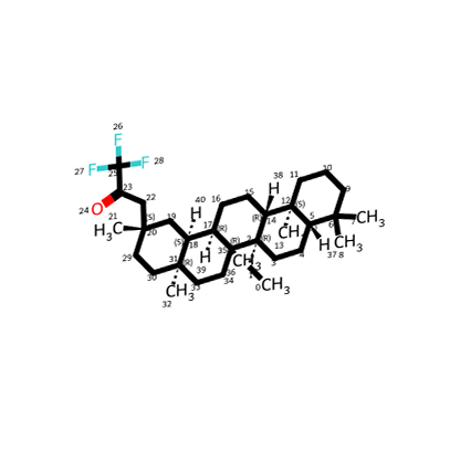 CC[C@@]12CC[C@H]3C(C)(C)CCC[C@]3(C)[C@H]1CC[C@@H]1[C@@H]3C[C@@](C)(CC(=O)C(F)(F)F)CC[C@]3(C)CC[C@]12C